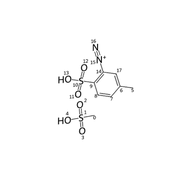 CS(=O)(=O)O.Cc1ccc(S(=O)(=O)O)c([N+]#N)c1